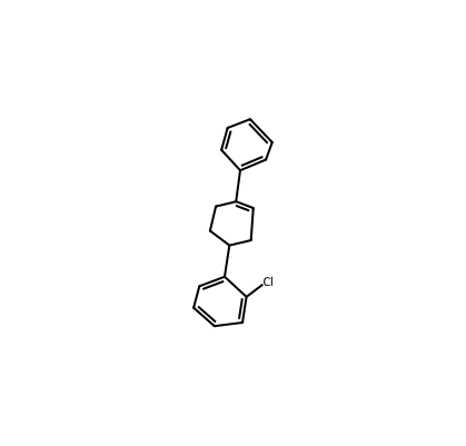 Clc1ccccc1C1CC=C(c2ccccc2)CC1